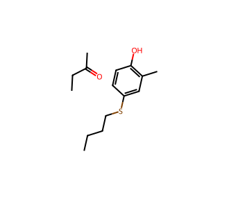 CCC(C)=O.CCCCSc1ccc(O)c(C)c1